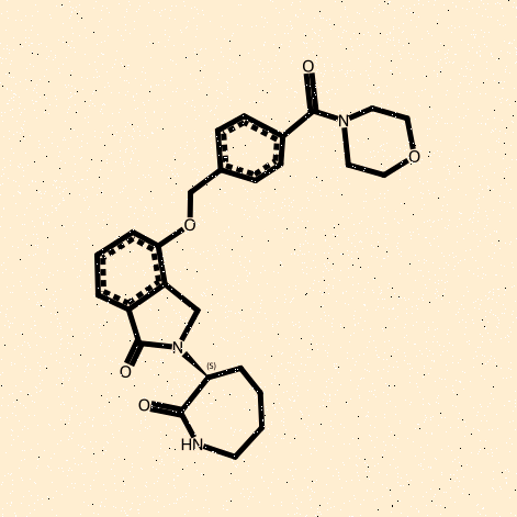 O=C1NCCCC[C@@H]1N1Cc2c(OCc3ccc(C(=O)N4CCOCC4)cc3)cccc2C1=O